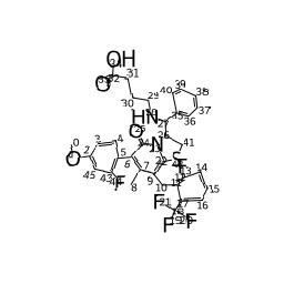 COc1ccc(-c2c(C)c(Cc3c(F)cccc3C(F)(F)F)c3n(c2=O)C(C(NCCCC(=O)O)c2ccccc2)CS3)c(F)c1